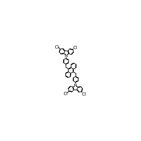 Clc1ccc2c(c1)c1cc(Cl)ccc1n2-c1ccc(Cc2c3ccccc3c(Cc3ccc(-n4c5ccc(Cl)cc5c5cc(Cl)ccc54)cc3)c3ccccc23)cc1